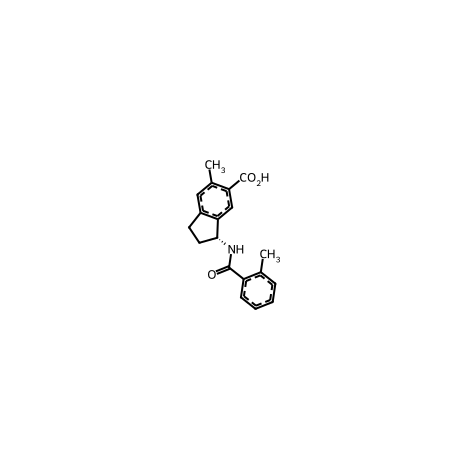 Cc1cc2c(cc1C(=O)O)[C@H](NC(=O)c1ccccc1C)CC2